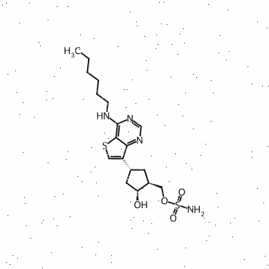 CCCCCCNc1ncnc2c([C@@H]3C[C@@H](COS(N)(=O)=O)[C@@H](O)C3)csc12